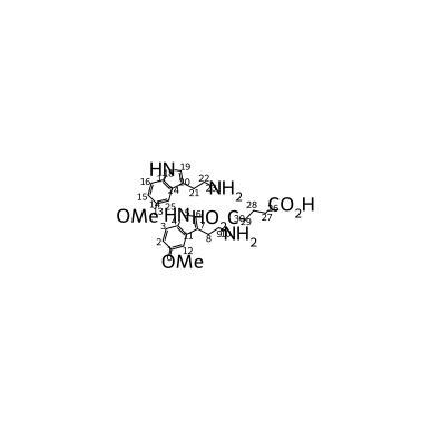 COc1ccc2[nH]cc(CCN)c2c1.COc1ccc2[nH]cc(CCN)c2c1.O=C(O)CCCC(=O)O